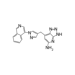 Nc1cc(Cc2cnn(-c3cncc4ccccc34)c2)c2nn[nH]c2n1